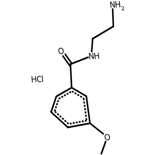 COc1cccc(C(=O)NCCN)c1.Cl